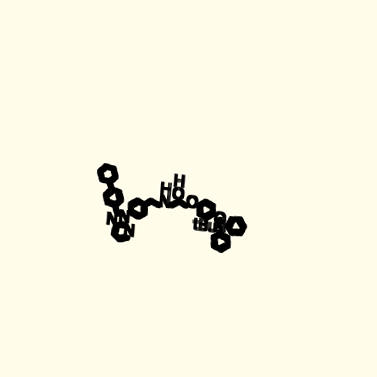 CC(C)(C)[Si](Oc1ccc(OC[C@@H](O)CNCCc2ccc(-n3c(-c4ccc(C5CCCCC5)cc4)nc4cccnc43)cc2)cc1)(c1ccccc1)c1ccccc1